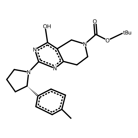 Cc1ccc([C@@H]2CCCN2c2nc(O)c3c(n2)CCN(C(=O)OC(C)(C)C)C3)cc1